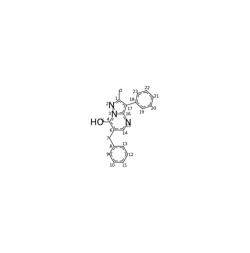 Cc1nn2c(O)c(Cc3ccccc3)cnc2c1-c1ccccc1